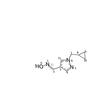 O/N=C/c1cnn(CC2CC2)c1